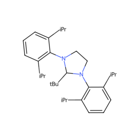 CC(C)c1cccc(C(C)C)c1N1CCN(c2c(C(C)C)cccc2C(C)C)C1C(C)(C)C